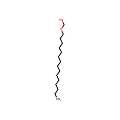 CCCCCCCCCCCCCCCOCO